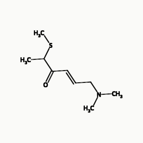 CSC(C)C(=O)/C=C/CN(C)C